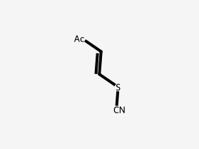 CC(=O)/C=C/SC#N